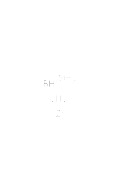 B.C.[SiH4].[Zr]